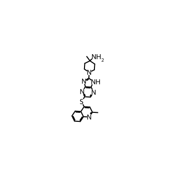 Cc1cc(Sc2cnc3[nH]c(N4CCC(C)(N)CC4)nc3n2)c2ccccc2n1